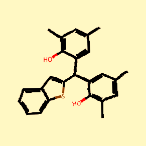 Cc1cc(C)c(O)c(C(c2cc3ccccc3s2)c2cc(C)cc(C)c2O)c1